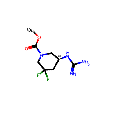 CC(C)(C)OC(=O)N1C[C@@H](NC(=N)N)CC(F)(F)C1